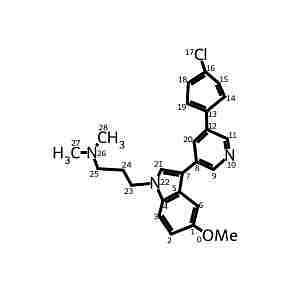 COc1ccc2c(c1)c(-c1cncc(-c3ccc(Cl)cc3)c1)cn2CCCN(C)C